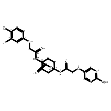 COc1ncc(OCC(=O)NC23CCC(NC(=O)COc4ccc(Cl)c(F)c4)(CC2)C(=O)C3)cn1